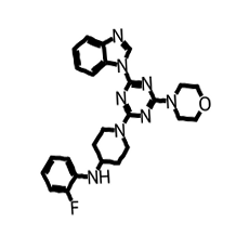 Fc1ccccc1NC1CCN(c2nc(N3CCOCC3)nc(-n3cnc4ccccc43)n2)CC1